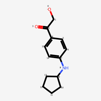 [O]CC(=O)c1ccc(NC2CCCC2)cc1